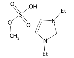 CCN1C=CN(CC)C1.COS(=O)(=O)O